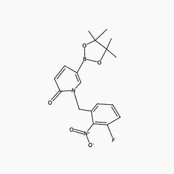 CC1(C)OB(c2ccc(=O)n(Cc3cccc(F)c3[N+](=O)[O-])c2)OC1(C)C